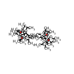 CCO[Si](OCC)(OCC)C(CCSSSSCCC([Si](OCC)(OCC)OCC)([Si](OCC)(OCC)OCC)[Si](OCC)(OCC)OCC)([Si](OCC)(OCC)OCC)[Si](OCC)(OCC)OCC